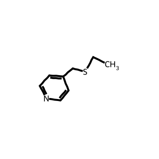 CCSCc1ccncc1